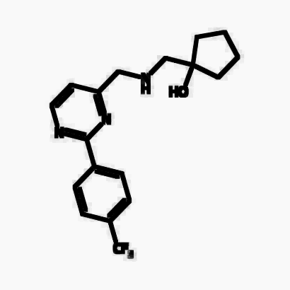 OC1(CNCc2ccnc(-c3ccc(C(F)(F)F)cc3)n2)CCCC1